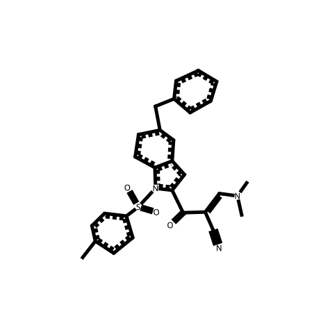 Cc1ccc(S(=O)(=O)n2c(C(=O)C(C#N)=CN(C)C)cc3cc(Cc4ccccc4)ccc32)cc1